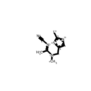 CC(=NC#N)N(C)Cc1cnc(I)s1